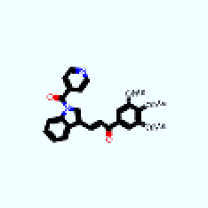 COc1cc(C(=O)C=Cc2cn(C(=O)c3ccncc3)c3ccccc23)cc(OC)c1OC